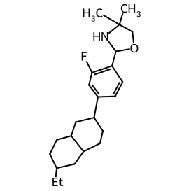 CCC1CCC2CC(c3ccc(C4NC(C)(C)CO4)c(F)c3)CCC2C1